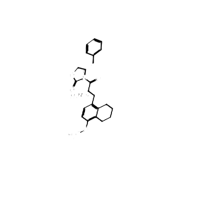 COc1ccc(C[C@H](N)C(=O)N2C(=O)OC[C@@H]2Cc2ccccc2)c2c1CCCC2